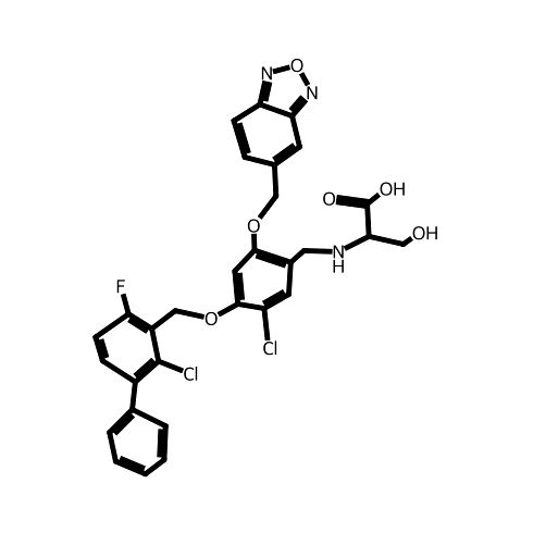 O=C(O)C(CO)NCc1cc(Cl)c(OCc2c(F)ccc(-c3ccccc3)c2Cl)cc1OCc1ccc2nonc2c1